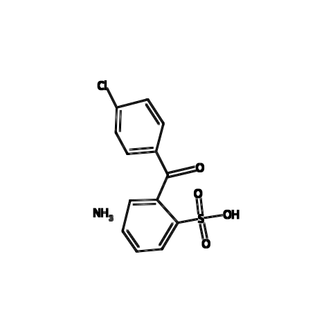 N.O=C(c1ccc(Cl)cc1)c1ccccc1S(=O)(=O)O